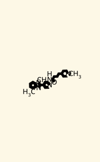 Cc1cccc2c1nc(-c1ccnc(NC(=O)CCCC3CCN(C)CC3)c1)n2C